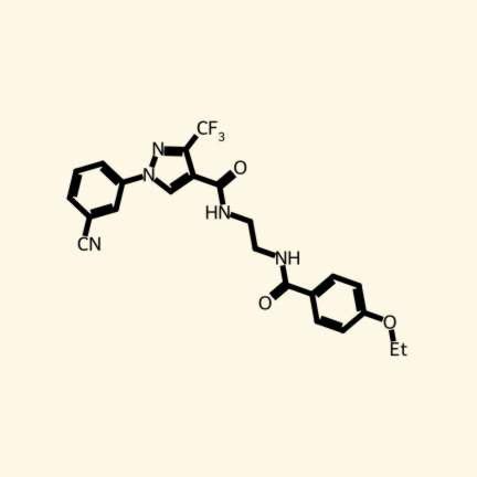 CCOc1ccc(C(=O)NCCNC(=O)c2cn(-c3cccc(C#N)c3)nc2C(F)(F)F)cc1